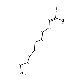 CCCCCCCCCC=C(F)Cl